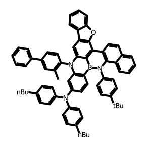 CCCCc1ccc(N(c2ccc(CCCC)cc2)c2ccc3c(c2)N(c2ccc(-c4ccccc4)cc2C)c2cc4c(oc5ccccc54)c4c2B3N(c2ccc(C(C)(C)C)cc2)c2c-4ccc3ccccc23)cc1